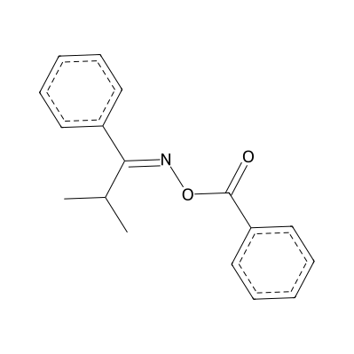 CC(C)/C(=N\OC(=O)c1ccccc1)c1ccccc1